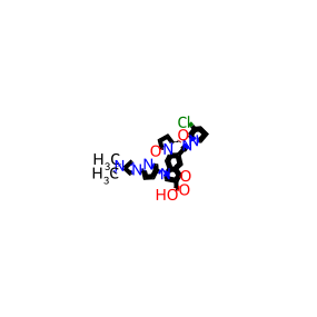 CN(C)C1CN(c2ccc(-n3cc(C(=O)O)c(=O)c4cc(C#N)c(N5C(=O)CC[C@@H]5COc5ncccc5Cl)cc43)cn2)C1